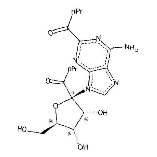 CCCC(=O)c1nc(N)c2ncn([C@]3(C(=O)CCC)O[C@H](CO)[C@@H](O)[C@H]3O)c2n1